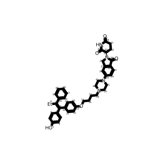 CCC(=C(c1ccc(O)cc1)c1ccc(OCCCCN2CCN(c3ccc4c(c3)CN([C@H]3CCC(=O)NC3=O)C4=O)CC2)cc1)c1ccccc1